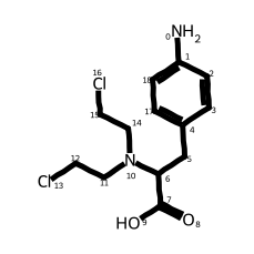 Nc1ccc(CC(C(=O)O)N(CCCl)CCCl)cc1